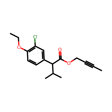 CC#CCOC(=O)C(c1ccc(OCC)c(Cl)c1)C(C)C